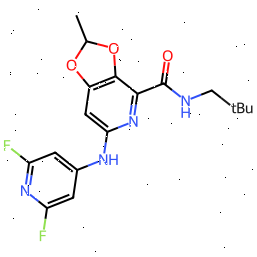 CC1Oc2cc(Nc3cc(F)nc(F)c3)nc(C(=O)NCC(C)(C)C)c2O1